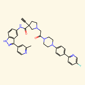 C#CC1(C(=O)Nc2ccc3[nH]nc(-c4ccnc(C)c4)c3c2)CCN(CC(=O)N2CCN(c3ccc(-c4ccc(F)cn4)cc3)CC2)C1